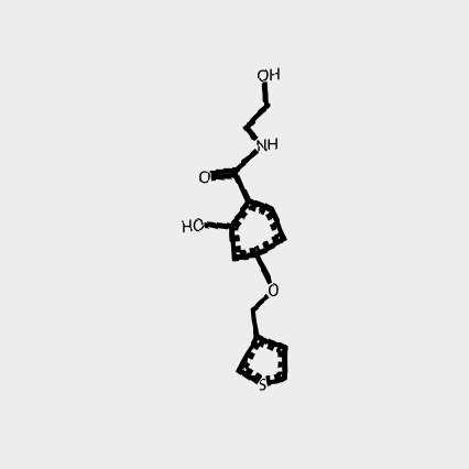 O=C(NCCO)c1ccc(OCc2ccsc2)cc1O